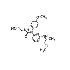 COCC(C)Nc1nccc(N(C(=O)NCCO)c2ccc(OC)cc2)n1